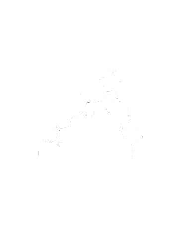 CS(=O)(=O)NCCNC(=O)c1nn(Cc2ccc(Cl)cc2)c2ccccc12